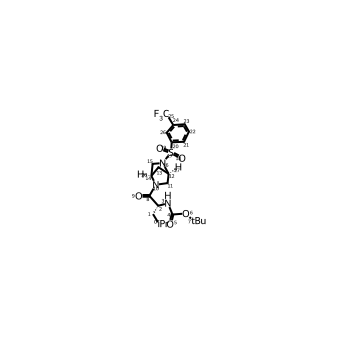 CC(C)C[C@@H](NC(=O)OC(C)(C)C)C(=O)N1C[C@H]2C[C@@H]1CN2S(=O)(=O)c1cccc(C(F)(F)F)c1